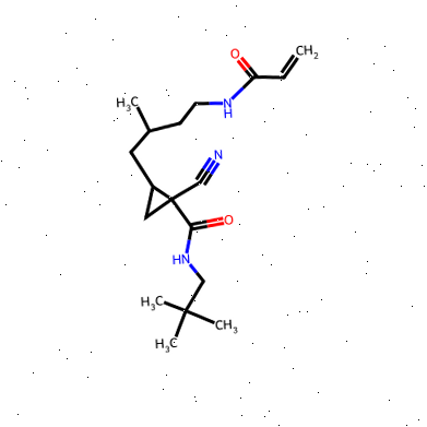 C=CC(=O)NCCC(C)CC1CC1(C#N)C(=O)NCC(C)(C)C